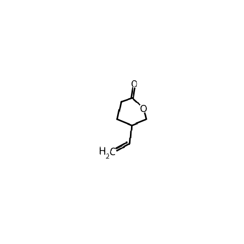 C=CC1CCC(=O)OC1